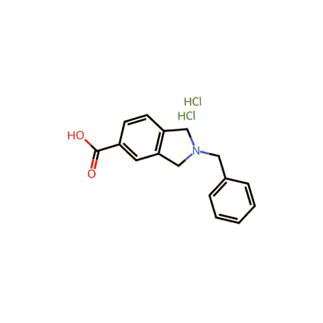 Cl.Cl.O=C(O)c1ccc2c(c1)CN(Cc1ccccc1)C2